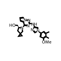 COc1cc(-n2cnc(Nc3nc(N4CC5(CC5)C[C@H]4CO)c4cccn4n3)c2)cc(C)c1C